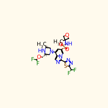 C[C@H]1CN(c2cc(S(=O)(=O)NC3(C)COC3)cn3c(-c4nnc(C(F)F)s4)ncc23)C[C@H](COC(F)F)N1